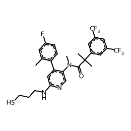 Cc1cc(F)ccc1-c1cc(NCCCS)ncc1N(C)C(=O)C(C)(C)c1cc(C(F)(F)F)cc(C(F)(F)F)c1